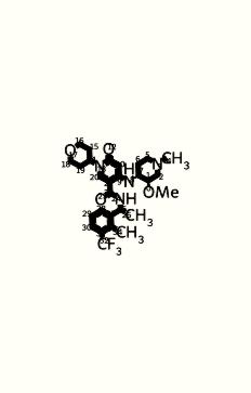 CO[C@@H]1CN(C)CC[C@H]1Nc1cc(=O)n(C2CCOCC2)cc1C(=O)NC(C)c1cccc(C(F)(F)F)c1C